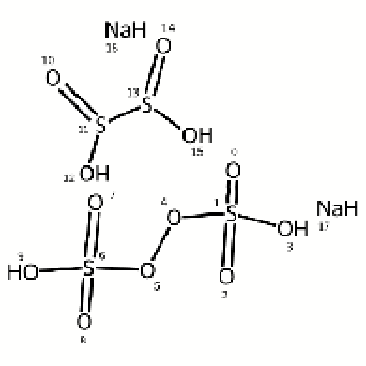 O=S(=O)(O)OOS(=O)(=O)O.O=S(O)S(=O)O.[NaH].[NaH]